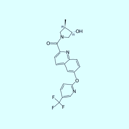 C[C@@H]1CN(C(=O)c2ccc3cc(Oc4ccc(C(F)(F)F)cn4)ccc3n2)C[C@H]1O